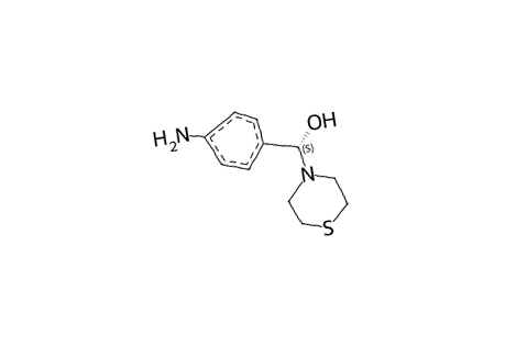 Nc1ccc([C@H](O)N2CCSCC2)cc1